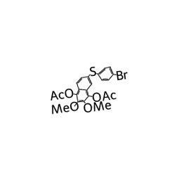 COc1c(OC)c(OC(C)=O)c2cc(Sc3ccc(Br)cc3)ccc2c1OC(C)=O